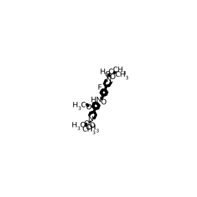 CCOc1cc(NC(=O)c2ccc(C3=CCN(C(=O)OC(C)(C)C)CC3)c(F)c2)ccc1C1=CCN(C(=O)OC(C)(C)C)CC1